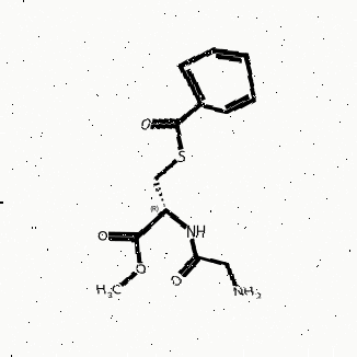 COC(=O)[C@H](CSC(=O)c1ccccc1)NC(=O)CN